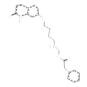 O=C(Cc1ccccc1)OCNCCCCOc1ccc2ccc(=O)[nH]c2c1